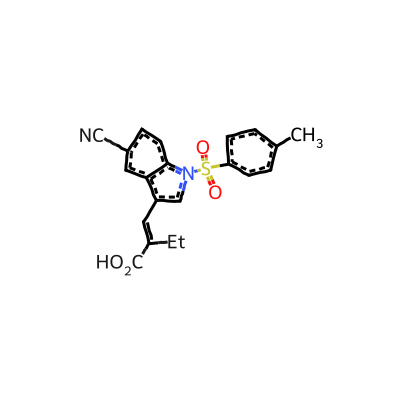 CC/C(=C\c1cn(S(=O)(=O)c2ccc(C)cc2)c2ccc(C#N)cc12)C(=O)O